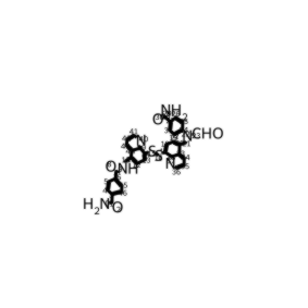 NC(=O)c1ccc(C(=O)NCc2ccc(SSc3ccc(CN(C=O)c4ccc(C(N)=O)cc4)c4cccnc34)c3ncccc23)cc1